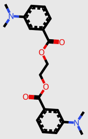 CN(C)c1cccc(C(=O)OCCOC(=O)c2cccc(N(C)C)c2)c1